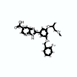 COCC(C)Oc1cc(OCc2ccccc2F)cc(-c2nc3cc(C(=O)O)cnc3[nH]2)c1